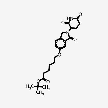 CC(C)(C)OC(=O)CCCCCOc1ccc2c(c1)C(=O)N(C1CCC(=O)NC1=O)C2